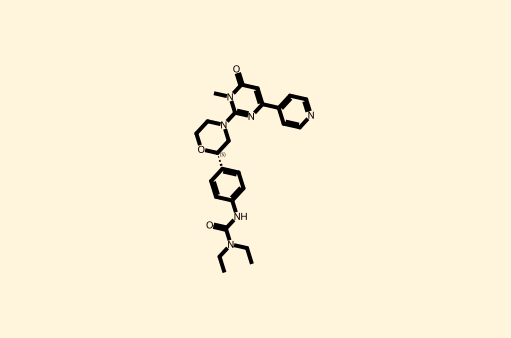 CCN(CC)C(=O)Nc1ccc([C@H]2CN(c3nc(-c4ccncc4)cc(=O)n3C)CCO2)cc1